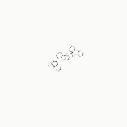 CCC1=Cc2c(ccc(CC)c2-c2cc([Si](C)(C)C)cc([Si](C)(C)C)c2)[CH]1[Zr]([Cl])([Cl])[c]1cccc2c1[SiH2]c1ccccc1-2